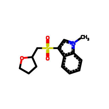 Cn1cc(S(=O)(=O)CC2CCCO2)c2ccccc21